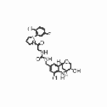 O=C(NCC(=O)N1CCCN1c1cc(F)ccc1Cl)NCc1cc(Cl)c2c(c1)[C@H]1C[C@@H](N2)[C@H](O)CO1